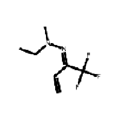 C=C/C(=N\N(C)CC)C(F)(F)F